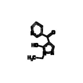 CCn1ncc(C(=O)c2cccnc2)c1O